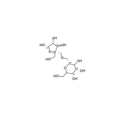 OCC1O[C@H](COC[C@]2(CO)O[C@H](O)C(O)[C@H]2O)C(O)[C@H](O)[C@@H]1O